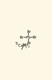 CN.[Br][Pb]([Br])([Br])[Br].[CaH2].[Ti]